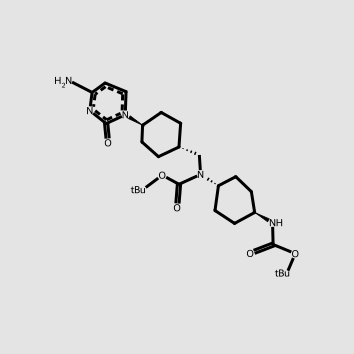 CC(C)(C)OC(=O)N[C@H]1CC[C@H](N(C[C@H]2CC[C@H](n3ccc(N)nc3=O)CC2)C(=O)OC(C)(C)C)CC1